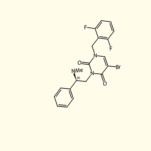 CN[C@@H](Cn1c(=O)c(Br)cn(Cc2c(F)cccc2F)c1=O)c1ccccc1